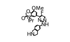 COc1cc(-c2nc(Nc3ccc4c(c3)CCNC4)ncc2F)cc2c1OCC(=O)N2C(C)C